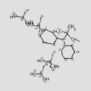 CC(C)(C)P(C1CCCCC1)C1CCCCC1.OB(O)F.OB(O)F.OB(O)F.OB(O)F